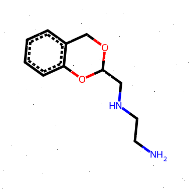 NCCNCC1OCc2ccccc2O1